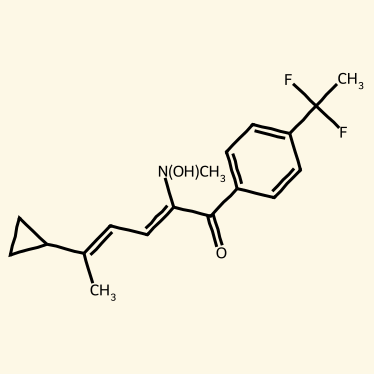 C/C(=C\C=C(\C(=O)c1ccc(C(C)(F)F)cc1)N(C)O)C1CC1